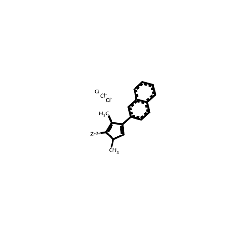 CC1=[C]([Zr+3])C(C)C=C1c1ccc2ccccc2c1.[Cl-].[Cl-].[Cl-]